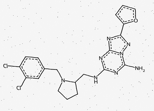 Nc1nc(NCC2CCCN2Cc2ccc(Cl)c(Cl)c2)nc2nc(-c3ccco3)nn12